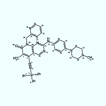 Cc1c(C#C[Si](C(C)C)(C(C)C)C(C)C)c2cnc(Nc3ccc(N4CCN(C)CC4)cc3)nc2n(Cc2ccccn2)c1=O